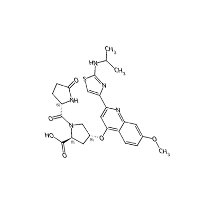 COc1ccc2c(O[C@@H]3C[C@@H](C(=O)O)N(C(=O)[C@@H]4CCC(=O)N4)C3)cc(-c3csc(NC(C)C)n3)nc2c1